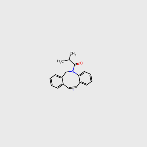 CC(C)C(=O)N1Cc2ccccc2/C=C\c2ccccc21